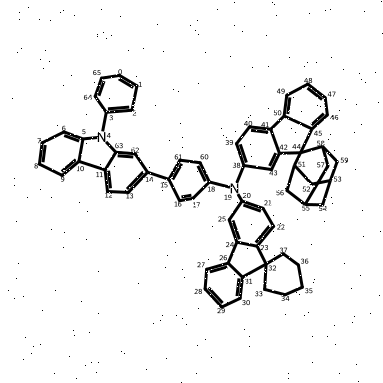 c1ccc(-n2c3ccccc3c3ccc(-c4ccc(N(c5ccc6c(c5)-c5ccccc5C65CCCCC5)c5ccc6c(c5)C5(c7ccccc7-6)C6CC7CC(C6)CC5C7)cc4)cc32)cc1